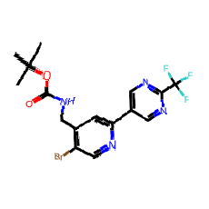 CC(C)(C)OC(=O)NCc1cc(-c2cnc(C(F)(F)F)nc2)ncc1Br